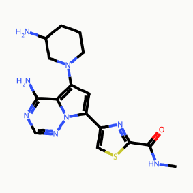 CNC(=O)c1nc(-c2cc(N3CCCC(N)C3)c3c(N)ncnn23)cs1